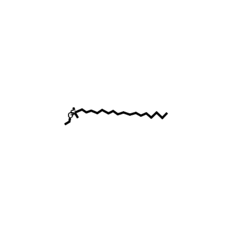 CCCCCCCCCCCCCCCCC[Si](C)(C)OCC